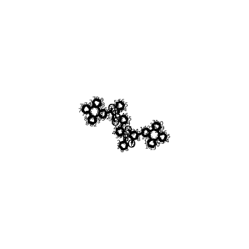 c1ccc2c(c1)Oc1cc(-c3ccc4c(c3)-c3ccccc3-c3ccccc3-c3ccccc3-4)cc3c1B2c1cccc(-c2cccc4c2OCC2B4c4ccccc4OC2c2ccc4c(c2)-c2ccccc2-c2ccccc2-c2ccccc2-4)c1O3